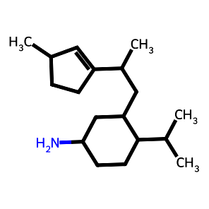 CC1C=C(C(C)CC2CC(N)CCC2C(C)C)CC1